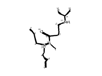 CCCN(CCC)N(C)C(=O)CCNC(C)C